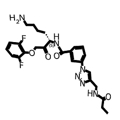 CCC(=O)NCc1cn(-c2cccc(C(=O)N[C@@H](CCCCN)C(=O)COc3c(F)cccc3F)c2)nn1